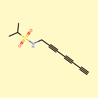 C#CC#CC#CCNS(=O)(=O)C(C)C